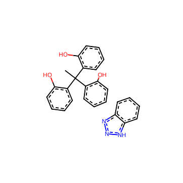 CC(c1ccccc1O)(c1ccccc1O)c1ccccc1O.c1ccc2[nH]nnc2c1